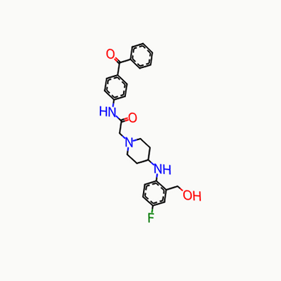 O=C(CN1CCC(Nc2ccc(F)cc2CO)CC1)Nc1ccc(C(=O)c2ccccc2)cc1